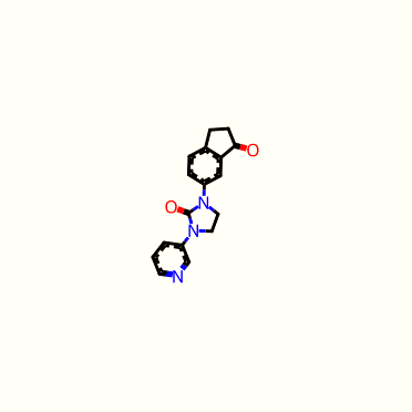 O=C1CCc2ccc(N3CCN(c4cccnc4)C3=O)cc21